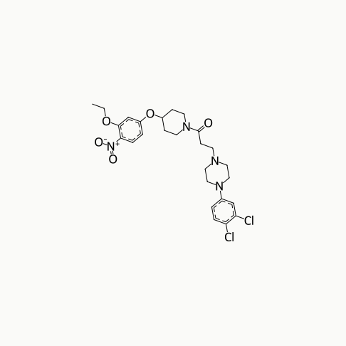 CCOc1cc(OC2CCN(C(=O)CCN3CCN(c4ccc(Cl)c(Cl)c4)CC3)CC2)ccc1[N+](=O)[O-]